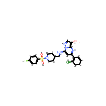 Bc1cnn2c(NCC3CCN(S(=O)(=O)c4ccc(F)cc4)CC3)cc(C3=C(Cl)CCC=C3)nc12